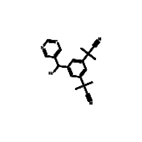 CC(C)(C#N)c1cc(C(O)c2cncnc2)cc(C(C)(C)C#N)c1